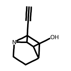 C#CC1C(O)C2CCN1CC2